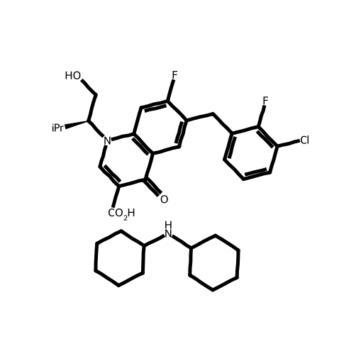 C1CCC(NC2CCCCC2)CC1.CC(C)[C@@H](CO)n1cc(C(=O)O)c(=O)c2cc(Cc3cccc(Cl)c3F)c(F)cc21